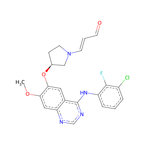 COc1cc2ncnc(Nc3cccc(Cl)c3F)c2cc1O[C@H]1CCN(C=CC=O)C1